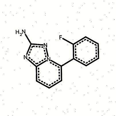 Nc1nc2cccc(-c3ccccc3F)n2n1